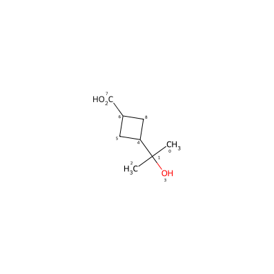 CC(C)(O)C1CC(C(=O)O)C1